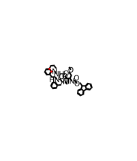 COC(=O)CC(NC(=O)OCC1c2ccccc2-c2ccccc21)C(=O)N(C)[C@@H](Cc1ccccc1)C(=O)NC(Cc1ccccc1)NN1CCCCC1